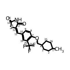 CC1CCC(COc2ccc(C=C3SC(=O)NC3=O)cc2C(F)(F)F)CC1